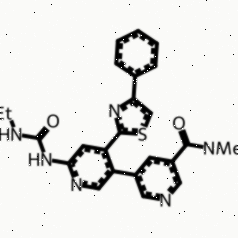 CCNC(=O)Nc1cc(-c2nc(-c3ccccc3)cs2)c(-c2cncc(C(=O)NC)c2)cn1